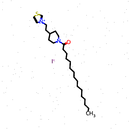 CCCCCCCCCCCCCCCC(=O)N1CCC(CC[n+]2ccsc2)CC1.[I-]